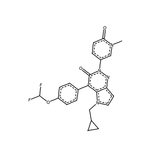 Cn1cc(-n2nc3ccn(CC4CC4)c3c(-c3ccc(OC(F)F)cc3)c2=O)ccc1=O